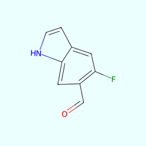 O=Cc1cc2[nH]ccc2cc1F